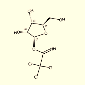 N=C(O[C@@H]1O[C@H](CO)[C@@H](O)[C@H]1O)C(Cl)(Cl)Cl